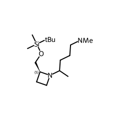 CNCCCC(C)N1CC[C@H]1CO[Si](C)(C)C(C)(C)C